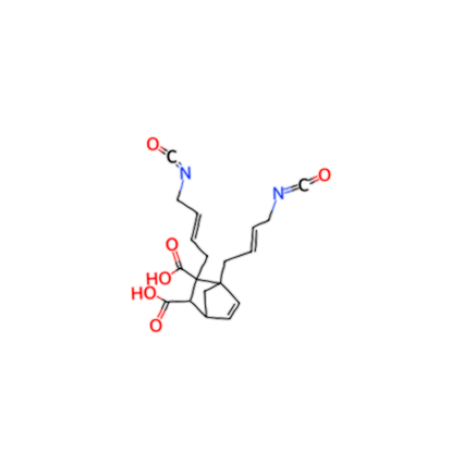 O=C=NCC=CCC12C=CC(C1)C(C(=O)O)C2(CC=CCN=C=O)C(=O)O